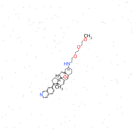 COCCOCCOCCN[C@H]1CCC2=CC3=CC[C@]4(C)[C@@H](c5ccc6ccncc6c5)CC[C@H]4[C@@]34CC[C@]2(C1)O4